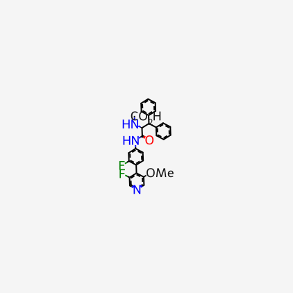 COc1cncc(F)c1-c1ccc(NC(=O)[C@@H](NC(=O)O)C(c2ccccc2)c2ccccc2)cc1F